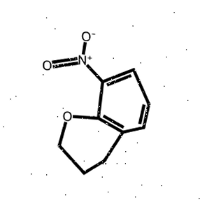 O=[N+]([O-])c1cccc2c1OCC[C]2